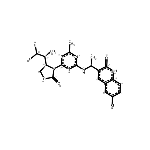 Cc1nc(N[C@@H](C)c2cc3cc(Cl)ccc3[nH]c2=O)nc(N2C(=O)OC[C@H]2[C@H](C)C(F)F)n1